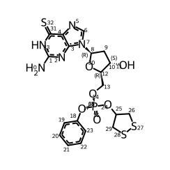 Nc1nc2c(ncn2[C@H]2C[C@H](O)[C@@H](CO[P@@](=O)(Oc3ccccc3)OC3CSSC3)O2)c(=S)[nH]1